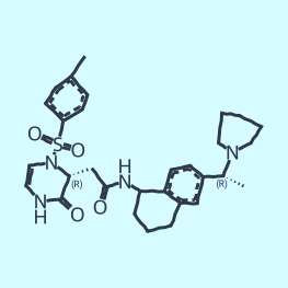 Cc1ccc(S(=O)(=O)N2C=CNC(=O)[C@H]2CC(=O)NC2CCCc3cc([C@@H](C)N4CCCCC4)ccc32)cc1